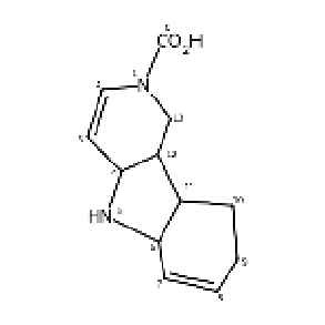 O=C(O)N1C=CC2NC3C=CCCC3C2C1